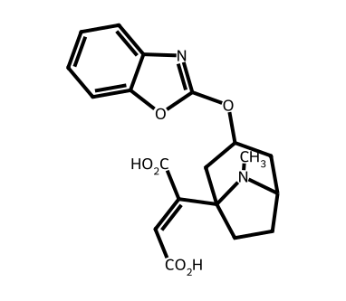 CN1C2CCC1(/C(=C\C(=O)O)C(=O)O)CC(Oc1nc3ccccc3o1)C2